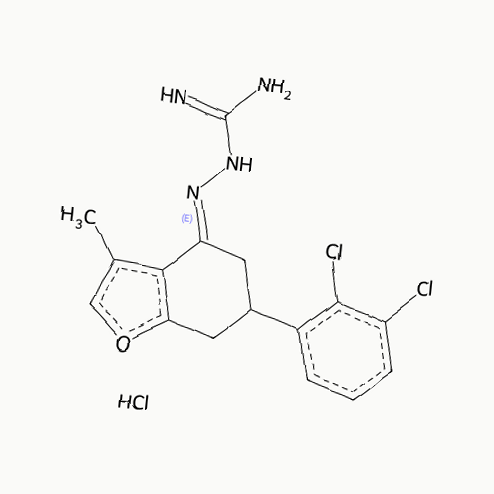 Cc1coc2c1/C(=N/NC(=N)N)CC(c1cccc(Cl)c1Cl)C2.Cl